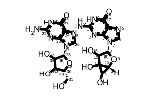 Nc1nc2c(ncn2[C@@H]2O[C@@H]3C(O)C3(O)C2O)c(=O)[nH]1.Nc1nc2c(ncn2[C@@H]2O[C@H](CO)C(O)C2O)c(=O)[nH]1